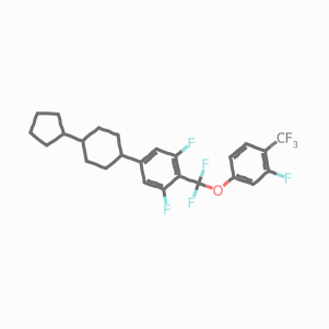 Fc1cc(OC(F)(F)c2c(F)cc(C3CCC(C4CCCC4)CC3)cc2F)ccc1C(F)(F)F